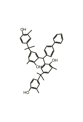 Cc1cc(C(C)(C)c2cc(C)c(O)c(C(c3ccc(-c4ccccc4)cc3)c3cc(C(C)(C)c4ccc(O)c(C)c4)cc(C)c3O)c2)ccc1O